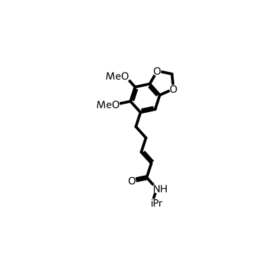 COc1c(CC/C=C/C(=O)NC(C)C)cc2c(c1OC)OCO2